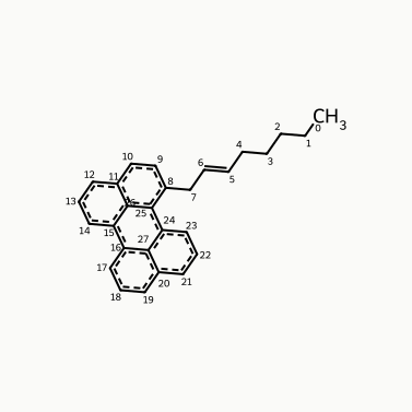 CCCCCC=CCc1ccc2cccc3c4cccc5cccc(c1c23)c54